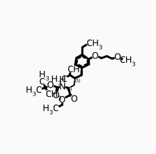 CCOC(=O)[C@H](C[C@H](Cc1ccc(CC)c(OCCCOC)c1)C(C)C)NC(=O)OC(C)(C)C